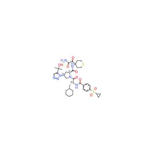 CC(C)(O)c1cnnn1[C@H]1C[C@@H](C(=O)NC2(C(=O)C(N)=O)CCSCC2)N(C(=O)[C@@H](CC2CCCCC2)NC(=O)c2ccc(S(=O)(=O)C3CC3)cc2)C1